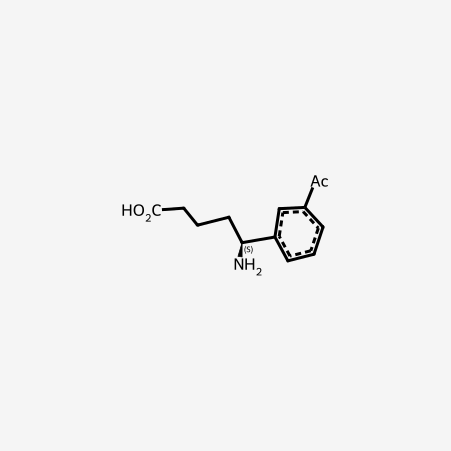 CC(=O)c1cccc([C@@H](N)CCCC(=O)O)c1